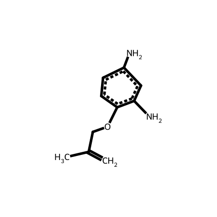 C=C(C)COc1ccc(N)cc1N